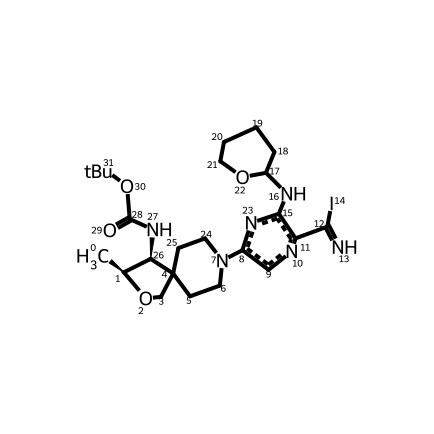 C[C@@H]1OCC2(CCN(c3cnc(C(=N)I)c(NC4CCCCO4)n3)CC2)[C@@H]1NC(=O)OC(C)(C)C